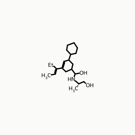 C/C=C(\CC)C1=CC(C2CCCCC2)CC(C(O)N[C@@H](C)CO)C1